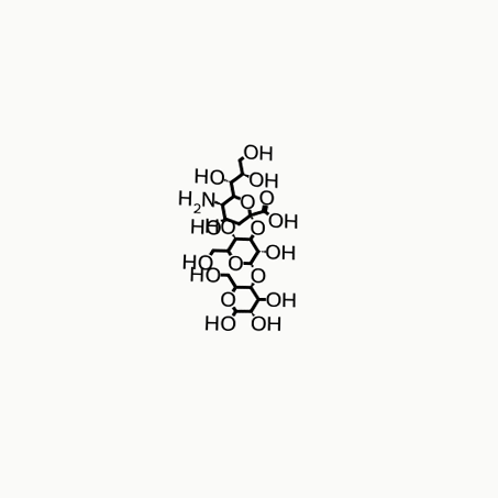 N[C@H]1C([C@H](O)[C@H](O)CO)O[C@@](OC2[C@@H](O)C(CO)O[C@@H](O[C@@H]3C(CO)OC(O)[C@@H](O)C3O)[C@H]2O)(C(=O)O)C[C@H]1O